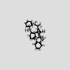 CC1N(C)c2ccccc2Nc2cccc3c2C24[C@H](C2(C)[C@H]2N(C)c5ccccc5N32)[C@]14C